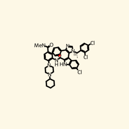 CNC(=O)c1ccc(N2CCN(C3CCCCC3)CC2)c(NC(=O)c2[nH]c3cc(Cl)ccc3c2-c2c(-c3ccccc3)ncn2[C@@H](C)c2ccc(Cl)cc2Cl)c1